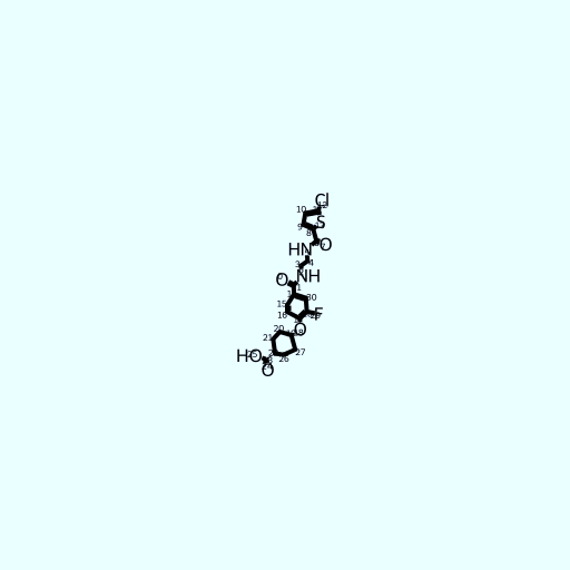 O=C(NCCNC(=O)c1ccc(Cl)s1)c1ccc(O[C@H]2CC[C@@H](C(=O)O)CC2)c(F)c1